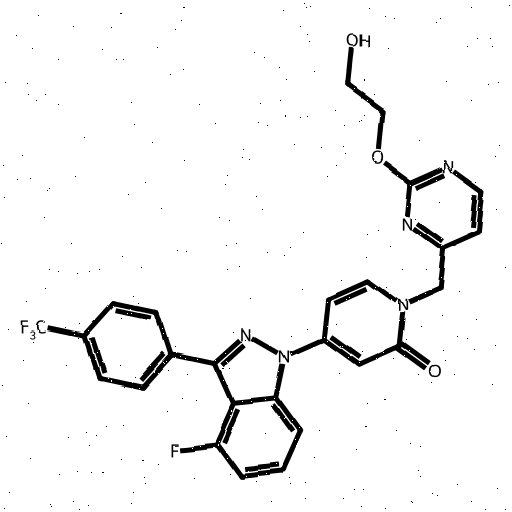 O=c1cc(-n2nc(-c3ccc(C(F)(F)F)cc3)c3c(F)cccc32)ccn1Cc1ccnc(OCCO)n1